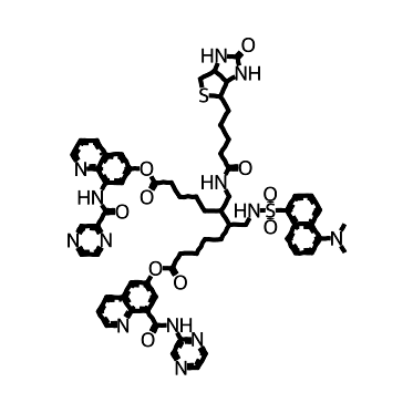 CN(C)c1cccc2c(S(=O)(=O)NCC(CCCCC(=O)Oc3cc(C(=O)Nc4cnccn4)c4ncccc4c3)C(CCCCC(=O)Oc3cc(NC(=O)c4cnccn4)c4ncccc4c3)CNC(=O)CCCCC3SCC4NC(=O)NC43)cccc12